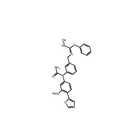 COc1cc(N(C(N)=O)c2cccc(C/N=C(\NC#N)Oc3ccccc3)c2)ccc1-c1cnco1